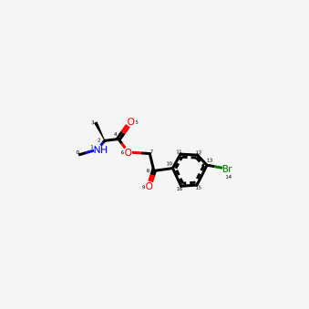 CN[C@@H](C)C(=O)OCC(=O)c1ccc(Br)cc1